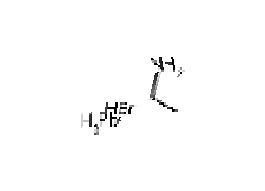 Br.CCN.[PbH2]